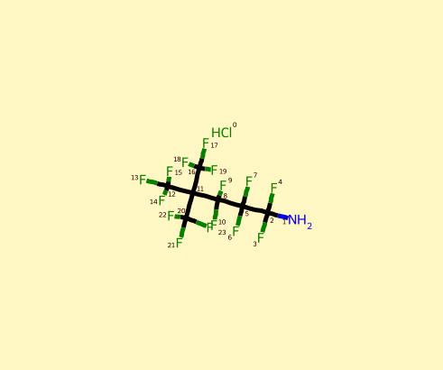 Cl.NC(F)(F)C(F)(F)C(F)(F)C(C(F)(F)F)(C(F)(F)F)C(F)(F)F